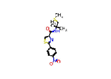 CSCC(C)(C)NC(=O)C1CSC(c2ccc([N+](=O)[O-])cc2)=N1